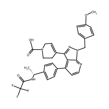 COc1ccc(Cn2nc(C3=CCN(C(=O)O)CC3)c3c(-c4ccc([C@@H](C)NC(=O)C(F)(F)F)cc4)ccnc32)cc1